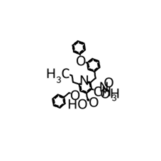 CCCc1nc(Cc2cccc(Oc3ccccc3)c2)c(C)c(C(=O)O)c1OCc1ccccc1.O=NO